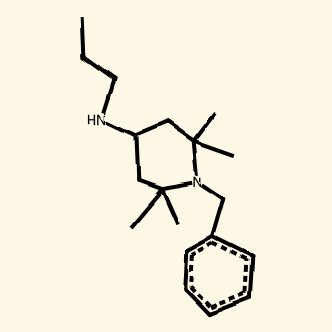 CCCNC1CC(C)(C)N(Cc2ccccc2)C(C)(C)C1